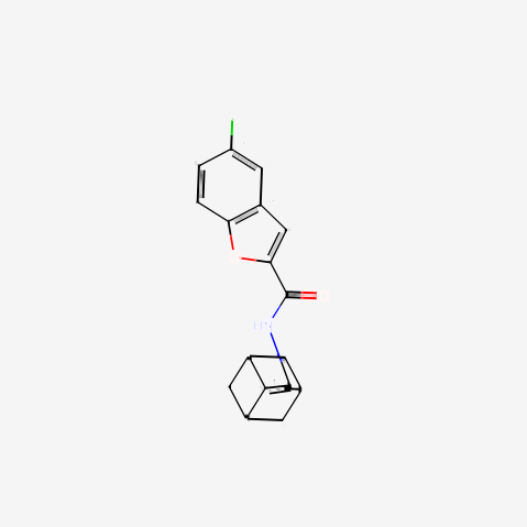 O=C(NC1=C2C3CC(C1)CC2C3)c1cc2cc(Cl)ccc2o1